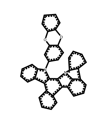 c1ccc2c(c1)Oc1ccc(-n3c4ccccc4c4c5ccccc5c5c6cccc7c8ccccc8n(c76)c5c43)cc1O2